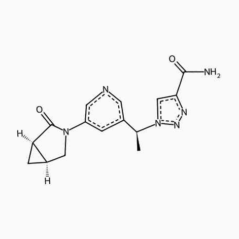 C[C@@H](c1cncc(N2C[C@H]3C[C@H]3C2=O)c1)n1cc(C(N)=O)nn1